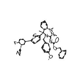 COc1ccc(CN2/C(=N/C(=O)OCc3ccccc3)N(C)N(C)c3ccccc3C2(C)c2ccc(-c3ccc(F)c(C#N)c3)s2)cc1